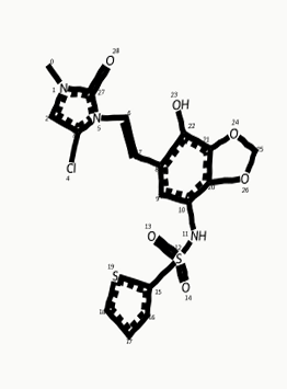 Cn1cc(Cl)n(C=Cc2cc(NS(=O)(=O)c3cccs3)c3c(c2O)OCO3)c1=O